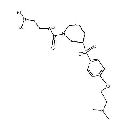 CCN(CC)CCNC(=O)N1CCCC(S(=O)(=O)c2ccc(OCCN(C)C)cc2)C1